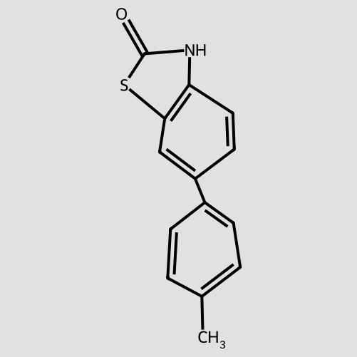 Cc1ccc(-c2ccc3[nH]c(=O)sc3c2)cc1